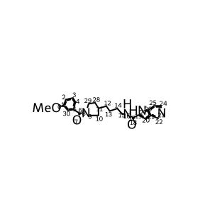 COc1cccc(C(=O)N2CCC(CCCCNC(=O)c3cc4cnccc4[nH]3)CC2)c1